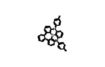 Cc1ccc(N2c3cccc4c3B3c5c(cccc5N(c5ccc(C)cc5)c5cccc2c53)-c2ccccc2-4)cc1